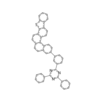 c1ccc(-c2nc(-c3ccccc3)nc(-c3cccc(-c4ccc5c(ccc6ccc7c(ccc8c9ccccc9sc87)c65)c4)c3)n2)cc1